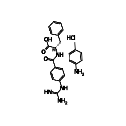 Cc1ccc(N)cc1.Cl.N=C(N)Nc1ccc(C(=O)N[C@@H](Cc2ccccc2)C(=O)O)cc1